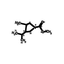 COC(=O)N1CC(C)C(C(C)C)C1